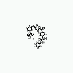 COC(=O)c1cccc(CN2CCN(C(=O)c3ccc(NC(=O)Nc4ccccc4)cc3)CC2)c1